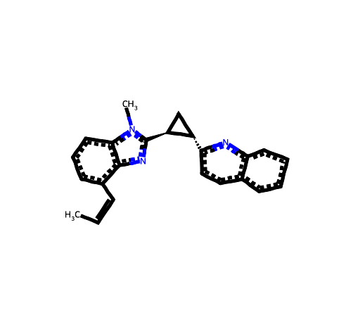 C/C=C\c1cccc2c1nc([C@H]1C[C@@H]1c1ccc3ccccc3n1)n2C